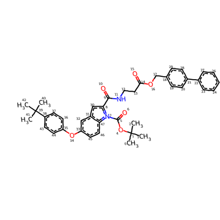 CC(C)(C)OC(=O)n1c(C(=O)NCCC(=O)OCc2ccc(-c3ccccc3)cc2)cc2cc(Oc3ccc(C(C)(C)C)cc3)ccc21